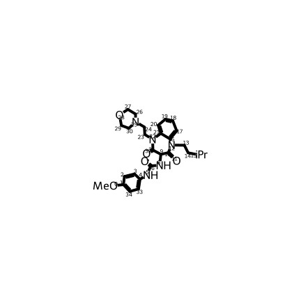 COc1ccc(NC(=O)NC2C(=O)N(CCC(C)C)c3ccccc3N(CCN3CCOCC3)C2=O)cc1